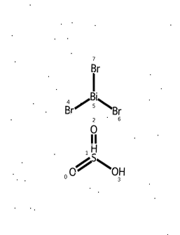 O=[SH](=O)O.[Br][Bi]([Br])[Br]